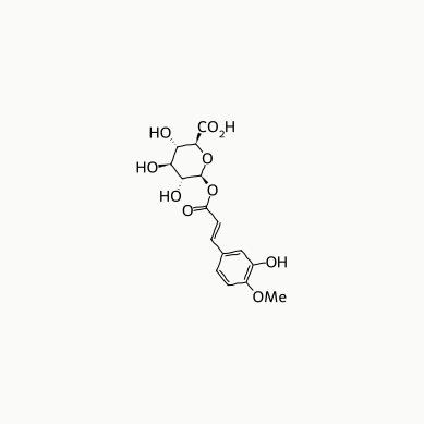 COc1ccc(/C=C/C(=O)O[C@@H]2O[C@H](C(=O)O)[C@@H](O)[C@H](O)[C@H]2O)cc1O